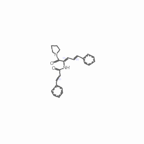 O=C(/C=C/c1ccccc1)N/C(=C\C=C\c1ccccc1)C(=O)N1CCCC1